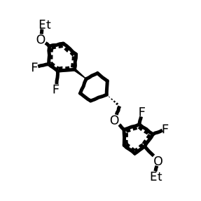 CCOc1ccc(OC[C@H]2CC[C@H](c3ccc(OCC)c(F)c3F)CC2)c(F)c1F